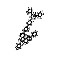 c1ccc(-c2cc(-c3ccc(-c4ccc(-c5ccc6nc(-c7ccccc7)c7ccc8oc(-c9ccccc9)nc8c7c6c5)cc4)cc3)nc(-c3ccccc3)n2)cc1